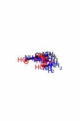 CC(C)CC(N)C(=O)O.CC(O)C(N)C(=O)O.CCC(C)C(N)C(=O)O.N=C(N)NCCCC(N)C(=O)O.NCCCCC(N)C(=O)O